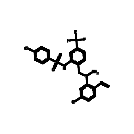 C=Nc1ccc(Cl)cc1N(N)Cc1ccc(C(F)(F)F)cc1NS(=O)(=O)c1ccc(Cl)cc1